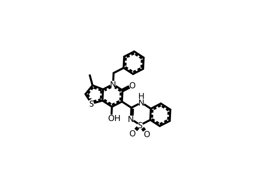 Cc1csc2c(O)c(C3=NS(=O)(=O)c4ccccc4N3)c(=O)n(Cc3ccccc3)c12